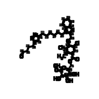 CO[C@H]1O[C@H](COC(=O)c2cc(Cl)c(OCc3nc4ccccc4n3CCCCCCc3cn(CCCC=O)nn3)c(Cl)c2C)[C@@H](O)[C@H](O)[C@H]1O